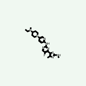 CCN(C)C1CCN(c2ccc(Nc3ncc(F)c(-c4sc(NC)nc4C)n3)nc2)CC1